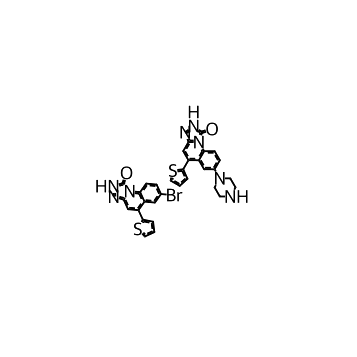 O=c1[nH]nc2cc(-c3cccs3)c3cc(Br)ccc3n12.O=c1[nH]nc2cc(-c3cccs3)c3cc(N4CCNCC4)ccc3n12